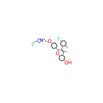 CC1=C(c2cc(F)ccc2C)C(c2ccc(OCCN3CC(CF)C3)cc2)Oc2ccc(O)cc21